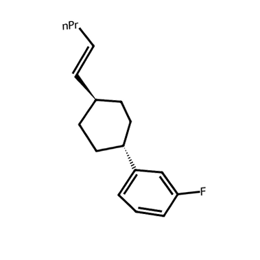 CCCC=C[C@H]1CC[C@H](c2cccc(F)c2)CC1